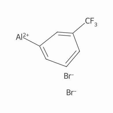 FC(F)(F)c1ccc[c]([Al+2])c1.[Br-].[Br-]